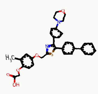 Cc1cc(OCc2nc(-c3ccc(N4CCOCC4)cc3)c(-c3ccc(-c4ccccc4)cc3)s2)ccc1OCC(=O)O